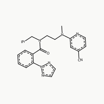 CC(C)CN(CCN(C)c1cc(C#N)ccn1)C(=O)c1ccccc1-n1nccn1